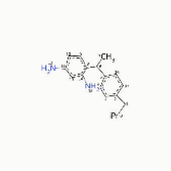 CC(C)Cc1ccc(C(C)c2ccc(N)cc2N)cc1